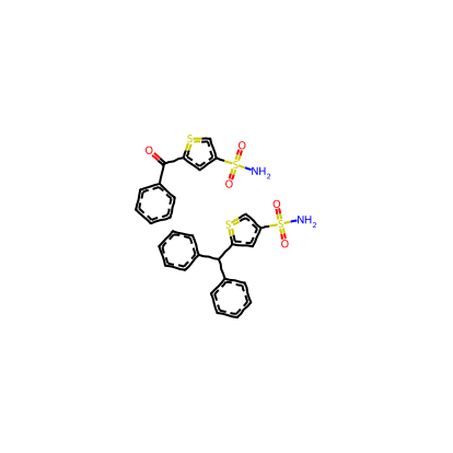 NS(=O)(=O)c1csc(C(=O)c2ccccc2)c1.NS(=O)(=O)c1csc(C(c2ccccc2)c2ccccc2)c1